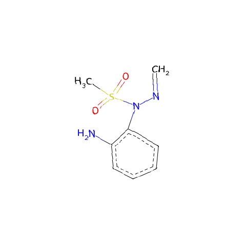 C=NN(c1ccccc1N)S(C)(=O)=O